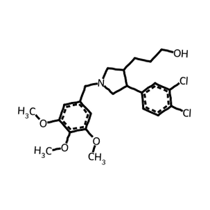 COc1cc(CN2CC(CCCO)C(c3ccc(Cl)c(Cl)c3)C2)cc(OC)c1OC